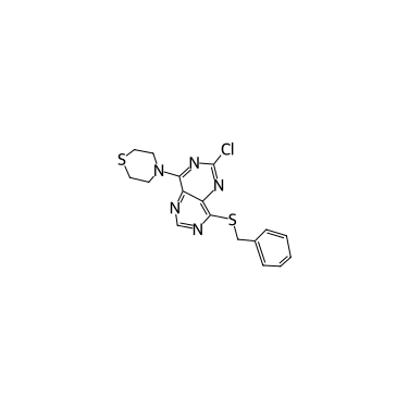 Clc1nc(N2CCSCC2)c2ncnc(SCc3ccccc3)c2n1